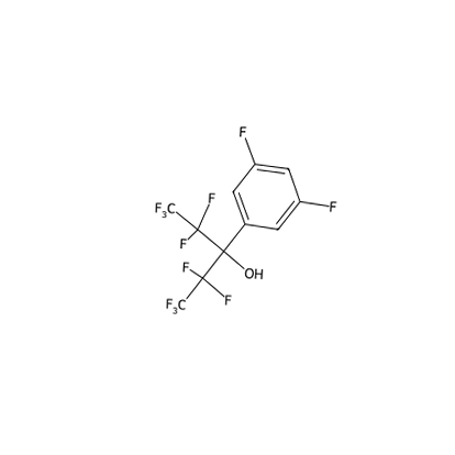 OC(c1cc(F)cc(F)c1)(C(F)(F)C(F)(F)F)C(F)(F)C(F)(F)F